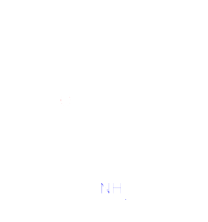 Nc1ccc(C(=O)C=Cc2ccccc2)cc1